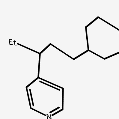 CCC(CCC1CCCCC1)c1ccncc1